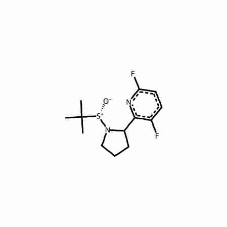 CC(C)(C)[S@+]([O-])N1CCCC1c1nc(F)ccc1F